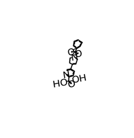 O=C(O)c1ncc(C2=CCN(S(=O)(=O)c3ccccc3)CC2)cc1O